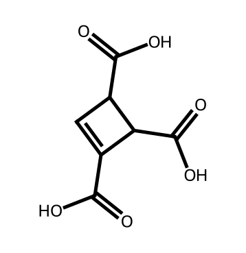 O=C(O)C1=CC(C(=O)O)C1C(=O)O